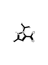 Cc1cc(C(=O)Cl)n(C(C)C)n1